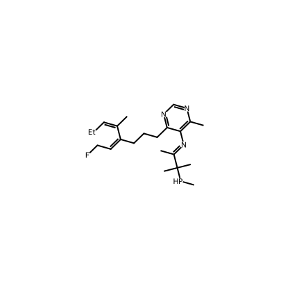 CC/C=C(C)\C(=C/CF)CCCc1ncnc(C)c1/N=C(\C)C(C)(C)PC